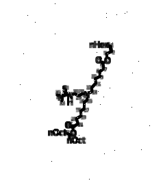 CCCCCC/C=C\COC(=O)CCCCCCCN(CCCCCCCC(=O)OC(CCCCCCCC)CCCCCCCC)CCCNC(=S)N(C)C